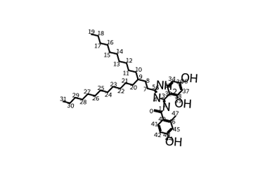 C=C(/N=C(\N=C(/N)CCC(CCCCCCCCCC)CCCCCCCCCCCC)c1ccc(O)cc1O)c1ccc(O)cc1C